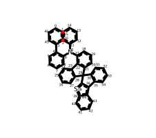 c1ccc(-c2ccccc2N(c2ccccc2)c2cccc3c2-c2ccccc2C32c3ccccc3-c3c2sc2ccccc32)cc1